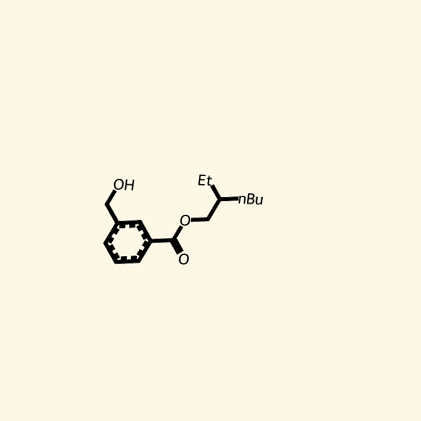 CCCCC(CC)COC(=O)c1cccc(CO)c1